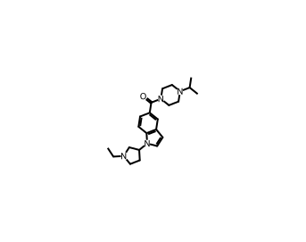 CCN1CCC(n2ccc3cc(C(=O)N4CCN(C(C)C)CC4)ccc32)C1